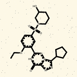 CCOc1ccc(S(=O)(=O)N2CCCC(O)C2)cc1-c1nn2c(C3CCCC3)nnc2c(=O)[nH]1